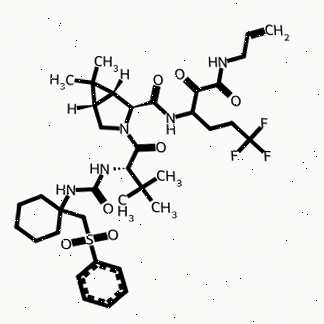 C=CCNC(=O)C(=O)C(CCC(F)(F)F)NC(=O)[C@@H]1[C@@H]2[C@H](CN1C(=O)[C@@H](NC(=O)NC1(CS(=O)(=O)c3ccccc3)CCCCC1)C(C)(C)C)C2(C)C